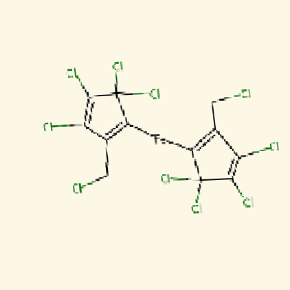 ClCC1=[C]([Fe][C]2=C(CCl)C(Cl)=C(Cl)C2(Cl)Cl)C(Cl)(Cl)C(Cl)=C1Cl